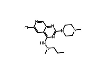 CCCN(C)Nc1nc(N2CCN(C)CC2)nc2cnc(Cl)cc12